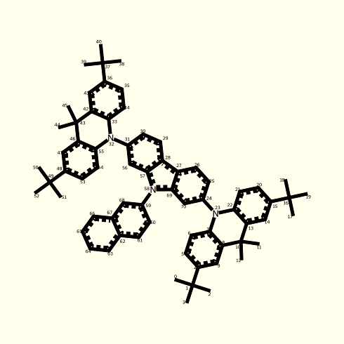 CC(C)(C)c1ccc2c(c1)C(C)(C)c1cc(C(C)(C)C)ccc1N2c1ccc2c3ccc(N4c5ccc(C(C)(C)C)cc5C(C)(C)c5cc(C(C)(C)C)ccc54)cc3n(-c3ccc4ccccc4c3)c2c1